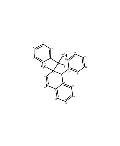 CC(O)(c1ccccc1)C1(C(F)(F)F)C=Nc2ccccc2C1c1ccccc1